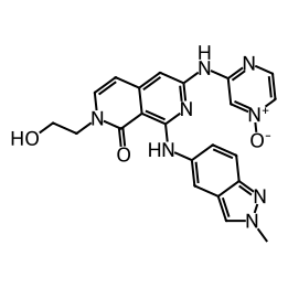 Cn1cc2cc(Nc3nc(Nc4c[n+]([O-])ccn4)cc4ccn(CCO)c(=O)c34)ccc2n1